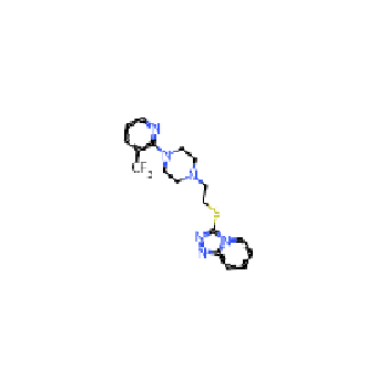 FC(F)(F)c1cccnc1N1CCN(CCSc2nnc3ccccn23)CC1